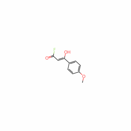 COc1ccc(/C(O)=C/C(=O)F)cc1